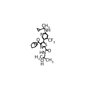 C[C@H](Nc1cc(C(F)(F)F)c(-c2sc(C(=O)NCC(C)(C)O)nc2C(=O)N2C3CCC2CC3)cn1)C1CC1